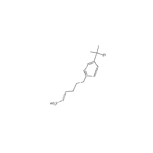 CCC(C)(C)c1ccc(CCCC=CS(=O)(=O)O)cc1